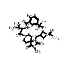 CC(=O)N1CC(CN2C(=O)N(C)C(=O)C23CCN(C(=O)C(NC(=O)c2cc(C(F)(F)F)ccc2F)C(C)C)CC3)C1